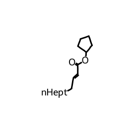 CCCCCCCCC=CC(=O)OC1CCCC1